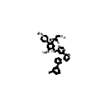 C=CC(=O)Nc1cc(Nc2cc(N3OCC[C@@H]3c3cccc(-c4cc(F)cc(F)c4)c3)ncn2)c(OC)cc1N1CCN(C(C)=O)CC1